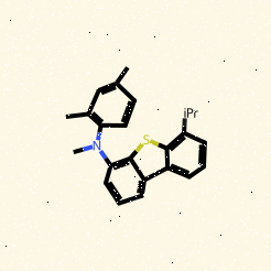 Cc1ccc(N(C)c2cccc3c2sc2c(C(C)C)cccc23)c(C)c1